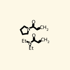 C=CC(=O)N(CC)CC.C=CC(=O)N1CCCC1